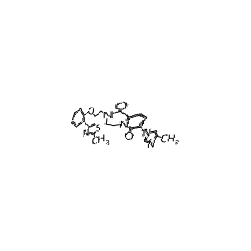 Cc1cn(-c2ccc3n(c2=O)CCN(CCOc2ccccc2-c2csc(C)n2)C3=O)cn1